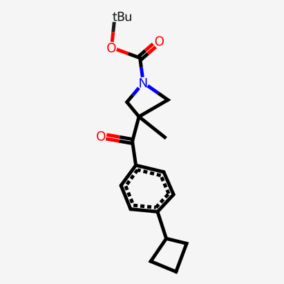 CC(C)(C)OC(=O)N1CC(C)(C(=O)c2ccc(C3CCC3)cc2)C1